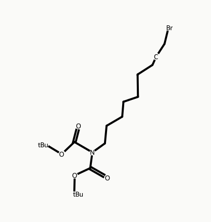 CC(C)(C)OC(=O)N(CCCCCCCCCBr)C(=O)OC(C)(C)C